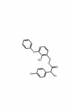 CC(C)C(C(=O)OCc1cccc(Oc2ccccc2)c1C#N)c1ccc(Cl)cc1